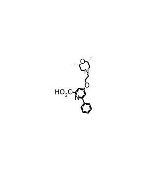 C[C@@H]1CN(CCOc2cc(C(=O)O)nc(-c3ccccc3)c2)C[C@H](C)O1